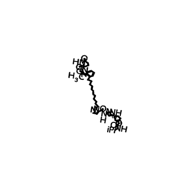 CC(C)NC(=O)O[C@@H]1CC[C@H](c2cc(NC(=O)c3ccnn3CCCCCCCCCCCCc3cccc4c3n(C)c(=O)n4C3CCC(=O)NC3=O)n[nH]2)C1